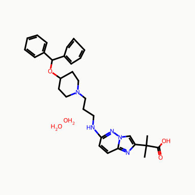 CC(C)(C(=O)O)c1cn2nc(NCCCN3CCC(OC(c4ccccc4)c4ccccc4)CC3)ccc2n1.O.O